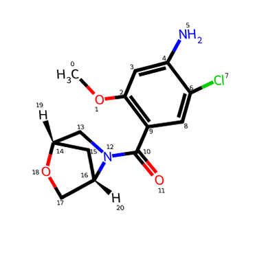 COc1cc(N)c(Cl)cc1C(=O)N1C[C@@H]2C[C@H]1CO2